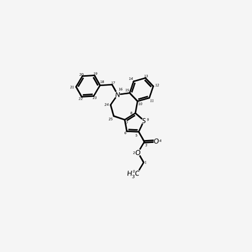 CCOC(=O)c1cc2c(s1)-c1ccccc1N(Cc1ccccc1)CC2